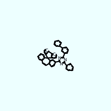 C1=Cc2ccc(-c3nc(-c4ccccc4)nc(-c4cccc(-c5ccccc5)c4)n3)cc2C2(c3ccccc31)c1ccccc1-c1ccccc12